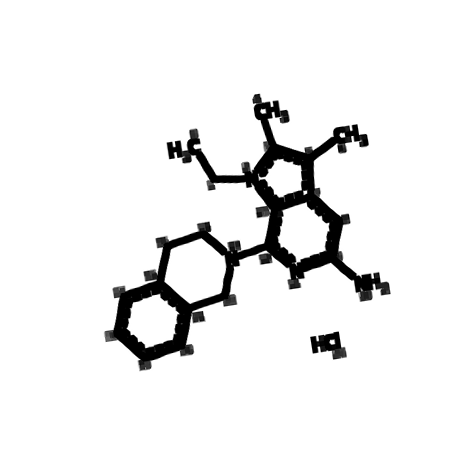 CCn1c(C)c(C)c2cc(N)nc(N3CCc4ccccc4C3)c21.Cl